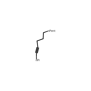 [CH2]CCC#CCCCCCCCC